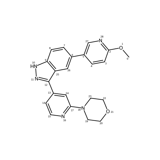 COc1ccc(-c2ccc3[nH]nc(-c4ccnc(N5CCOCC5)c4)c3c2)cn1